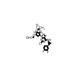 CC1(C)O[C@@H]2[C@H](O1)[C@@H](OCC=O)C[C@H]2n1nnc2c(N[C@@H]3C[C@H]3c3ccc(F)c(F)c3)nc(Cl)nc21